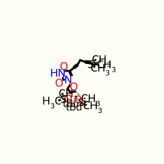 CC(C)(C)[Si](C)(C)OC[C@H]1O[C@@H](n2cc(C#CCC#C[Si](C)(C)C)c(=O)[nH]c2=O)C[C@H]1O[Si](C)(C)C(C)(C)C